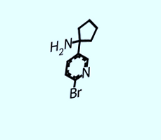 NC1(c2ccc(Br)nc2)CCCC1